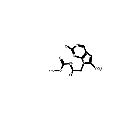 CCC(Cn1c(C(=O)O)cc2cnc(Cl)nc21)NC(=O)OC(C)(C)C